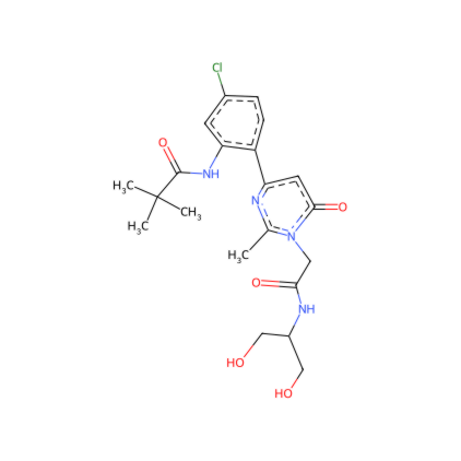 Cc1nc(-c2ccc(Cl)cc2NC(=O)C(C)(C)C)cc(=O)n1CC(=O)NC(CO)CO